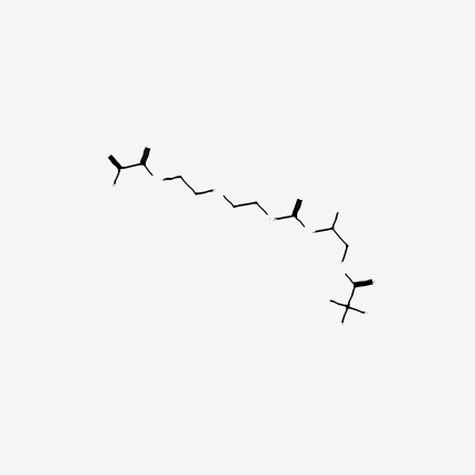 C=C(C)C(=O)OCCOCCNC(=O)OC(C)COC(=O)C(C)(C)CC